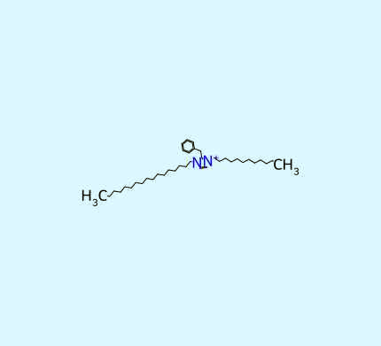 CCCCCCCCCCCCCCCCCn1cc[n+](CCCCCCCCCCCC)c1Cc1ccccc1